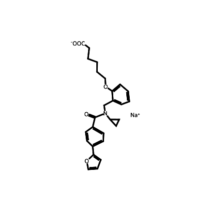 O=C([O-])CCCCCOc1ccccc1CN(C(=O)c1ccc(-c2ccco2)cc1)C1CC1.[Na+]